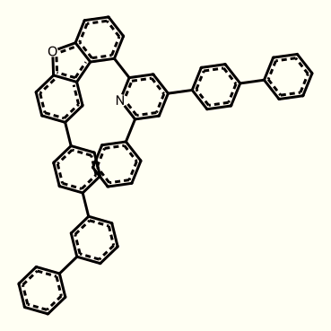 c1ccc(-c2ccc(-c3cc(-c4ccccc4)nc(-c4cccc5oc6ccc(-c7ccc(-c8cccc(-c9ccccc9)c8)cc7)cc6c45)c3)cc2)cc1